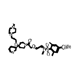 COc1cc(C)c(S(=O)(=O)N(C)CCOCC(=O)N2CCC(OCCN3CCN(C)CC3)(c3cccnc3)CC2)c(C)c1